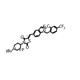 CC(C)(C)N1CCC(N2C(=O)S/C(=C\c3ccc4c(cnn4Cc4ccc(C(F)(F)F)cc4C(F)(F)F)c3)C2=O)[C@H](F)C1